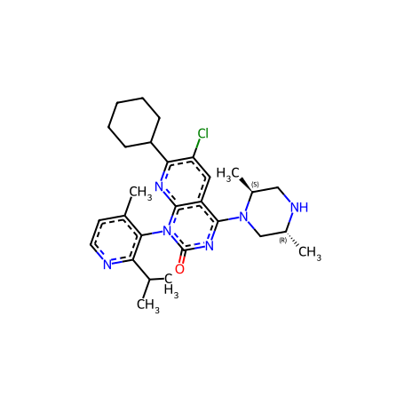 Cc1ccnc(C(C)C)c1-n1c(=O)nc(N2C[C@@H](C)NC[C@@H]2C)c2cc(Cl)c(C3CCCCC3)nc21